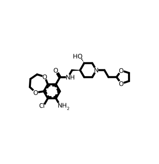 Nc1cc(C(=O)NC[C@@H]2CCN(CCC3OCCO3)C[C@H]2O)c2c(c1Cl)OCCCO2